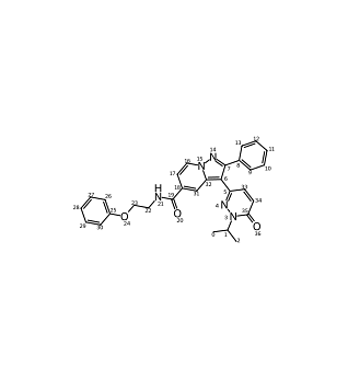 CC(C)n1nc(-c2c(-c3ccccc3)nn3ccc(C(=O)NCCOc4ccccc4)cc23)ccc1=O